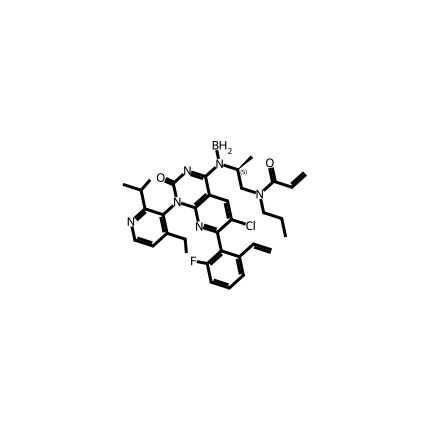 BN(c1nc(=O)n(-c2c(CC)ccnc2C(C)C)c2nc(-c3c(F)cccc3C=C)c(Cl)cc12)[C@@H](C)CN(CCC)C(=O)C=C